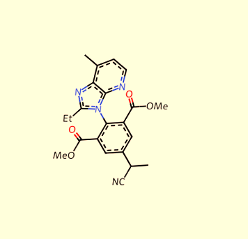 CCc1nc2c(C)ccnc2n1-c1c(C(=O)OC)cc(C(C)C#N)cc1C(=O)OC